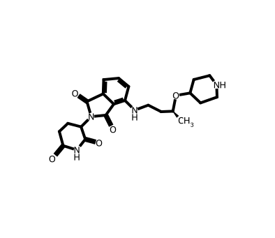 C[C@@H](CCNc1cccc2c1C(=O)N(C1CCC(=O)NC1=O)C2=O)OC1CCNCC1